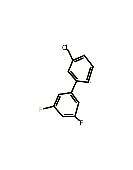 Fc1cc(F)cc(-c2[c]ccc(Cl)c2)c1